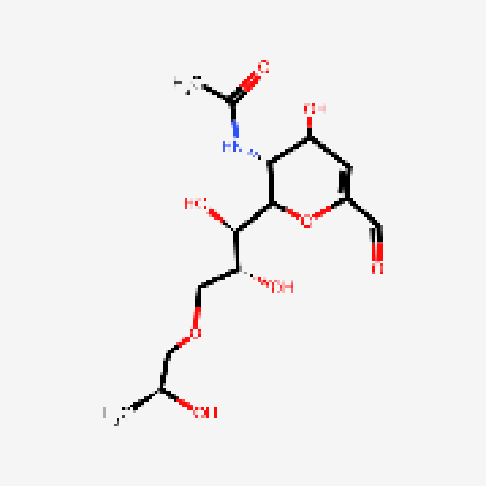 CC(=O)N[C@@H]1C(O)C=C(C=O)OC1[C@H](O)[C@H](O)COC[C@H](C)O